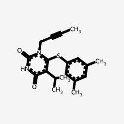 CC#CCn1c(Sc2cc(C)cc(C)c2)c(C(C)C)c(=O)[nH]c1=O